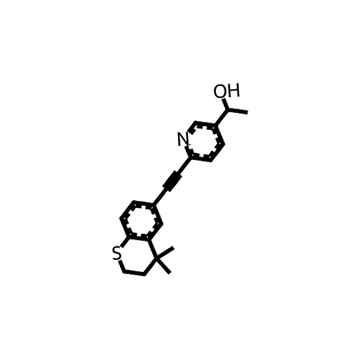 CC(O)c1ccc(C#Cc2ccc3c(c2)C(C)(C)CCS3)nc1